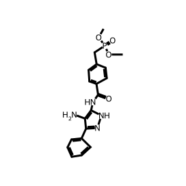 COP(=O)(Cc1ccc(C(=O)Nc2[nH]nc(-c3ccccc3)c2N)cc1)OC